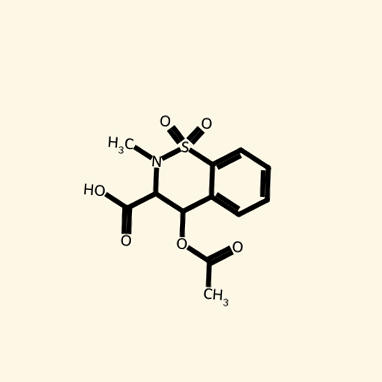 CC(=O)OC1c2ccccc2S(=O)(=O)N(C)C1C(=O)O